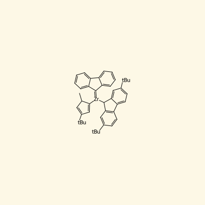 CC1C=C(C(C)(C)C)C=[C]1[Zr](=[C]1c2ccccc2-c2ccccc21)[CH]1c2cc(C(C)(C)C)ccc2-c2ccc(C(C)(C)C)cc21